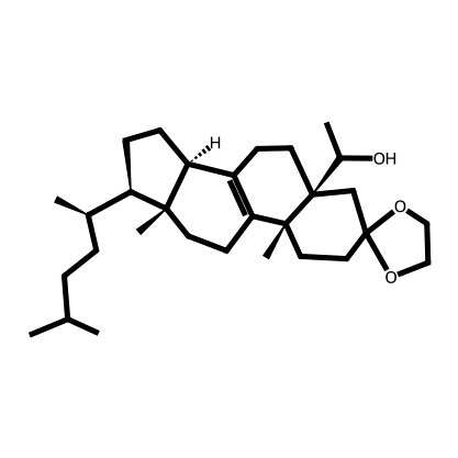 CC(C)CC[C@@H](C)[C@H]1CC[C@H]2C3=C(CC[C@]12C)[C@@]1(C)CCC2(C[C@@]1(C(C)O)CC3)OCCO2